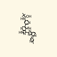 Cc1cn(-c2nccc3[nH]c(-c4n[nH]c5ncc(-c6cncc(NC(O)C(C)(C)C)c6)c(F)c45)nc23)cn1